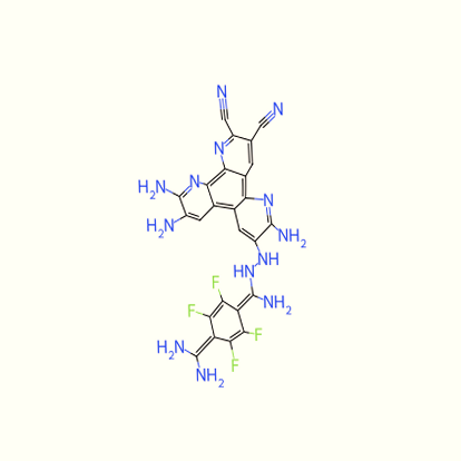 N#Cc1cc2c3nc(N)c(NNC(N)=c4c(F)c(F)c(=C(N)N)c(F)c4F)cc3c3cc(N)c(N)nc3c2nc1C#N